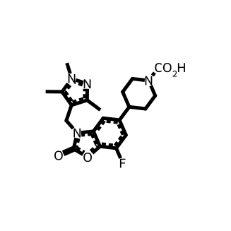 Cc1nn(C)c(C)c1Cn1c(=O)oc2c(F)cc(C3CCN(C(=O)O)CC3)cc21